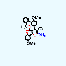 COc1ccc2oc(=O)c3c(c2c1)OC(N)=C(C#N)C3c1ccc(OC)c(-c2ccccc2C)c1